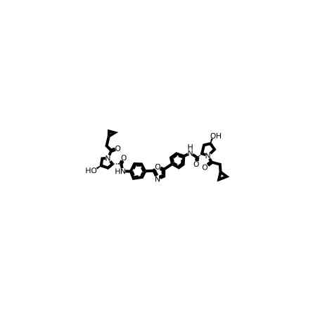 O=C(Nc1ccc(-c2cnc(-c3ccc(NC(=O)[C@@H]4C[C@@H](O)CN4C(=O)CC4CC4)cc3)o2)cc1)[C@@H]1C[C@@H](O)CN1C(=O)CC1CC1